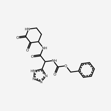 O=C(NC(C(=O)NC1CCNC(=O)C1=O)c1nnn[nH]1)OCc1ccccc1